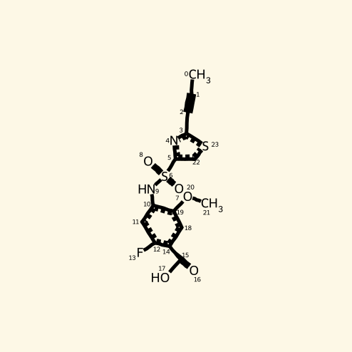 CC#Cc1nc(S(=O)(=O)Nc2cc(F)c(C(=O)O)cc2OC)cs1